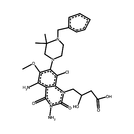 COc1c(N2CCN(Cc3ccccc3)C(C)(C)C2)c(Cl)c2c(c1N)c(=O)n(N)c(=O)n2CC(O)CC(=O)O